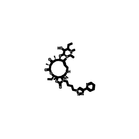 CCO[C@@H](O[C@H]1/C(C)=C/CN[C@H](C)[C@H]2N(CCCCn3cc(-c4ccccn4)nn3)C(=O)O[C@]2(C)[C@@H](CC)OC(=O)[C@H](C)C(=O)[C@@H]1C)C(O)C(CC)N(C)C